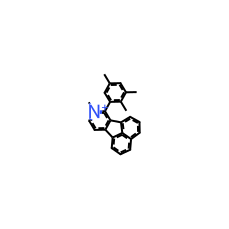 Cc1cc(C)c(C)c(-c2c3c(cc[n+]2C)-c2cccc4cccc-3c24)c1